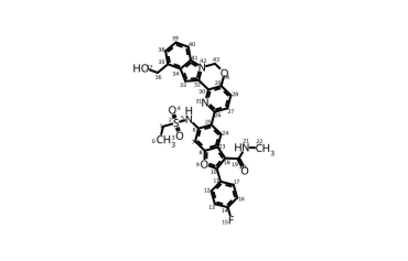 CCS(=O)(=O)Nc1cc2oc(-c3ccc(F)cc3)c(C(=O)NC)c2cc1-c1ccc2c(n1)-c1cc3c(CO)cccc3n1CO2